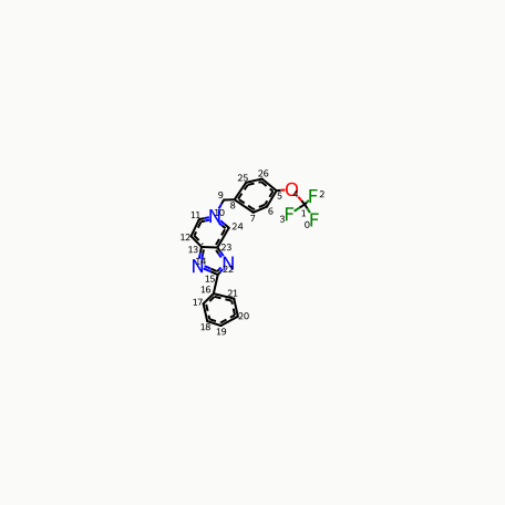 FC(F)(F)Oc1ccc(Cn2ccc3nc(-c4ccccc4)nc-3c2)cc1